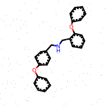 c1ccc(Oc2ccc(CNCc3ccccc3Oc3ccccc3)cc2)cc1